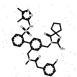 CCCCC1=NC2(CCCC2)C(=O)N1Cc1ccc(-c2ccccc2S(=O)(=O)Nc2onc(C)c2C)c(CN(C)C(=O)Cc2cccc(F)c2)c1